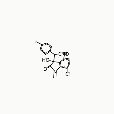 O=CC(c1ccc(I)cc1)C1(O)C(=O)Nc2c(Cl)ccc(Cl)c21